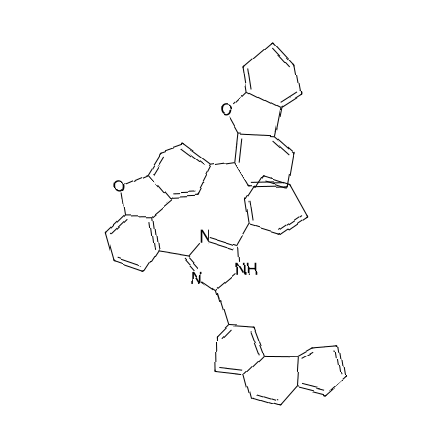 c1ccc(C2=NC(c3cccc4oc5ccc(-c6cccc7c6oc6ccccc67)cc5c34)=NC(c3ccc4ccc5ccccc5c4c3)N2)cc1